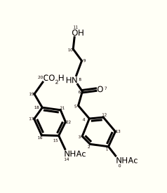 CC(=O)Nc1ccc(CC(=O)NCCO)cc1.CC(=O)Nc1ccc(CC(=O)O)cc1